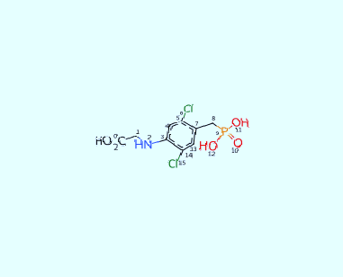 O=C(O)CNc1cc(Cl)c(CP(=O)(O)O)cc1Cl